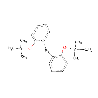 C[Si](C)(C)Oc1cccc[c]1[Pt][c]1ccccc1O[Si](C)(C)C